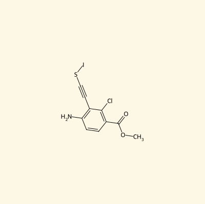 COC(=O)c1ccc(N)c(C#CSI)c1Cl